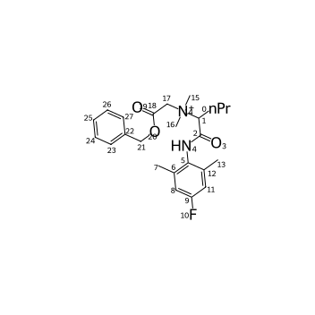 CCCC(C(=O)Nc1c(C)cc(F)cc1C)[N+](C)(C)CC(=O)OCc1ccccc1